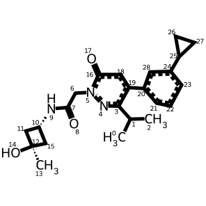 CC(C)c1nn(CC(=O)N[C@H]2C[C@](C)(O)C2)c(=O)cc1-c1cccc(C2CC2)c1